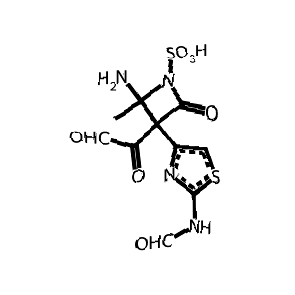 CC1(N)N(S(=O)(=O)O)C(=O)C1(C(=O)C=O)c1csc(NC=O)n1